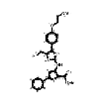 COCCOc1ccc(-c2nc(Nc3cc(-c4ccccc4)sc3C(=O)OC)sc2CC(C)C)cc1